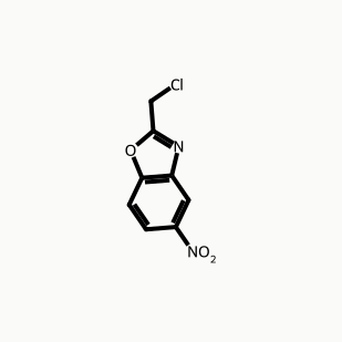 O=[N+]([O-])c1ccc2oc(CCl)nc2c1